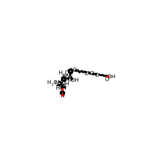 Cc1ccc(OCCCCCCOCCOCCOCCCCCC(=O)O)cc1[C@H](CCO)NC(=O)c1cccc(NC2(c3nnc(-c4ccncc4)[nH]3)CCN(C)CC2)c1